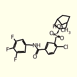 C[C@]1(O)C2CCC1C[C@H](S(=O)(=O)c1cc(C(=O)Nc3cc(F)c(F)c(F)c3)ccc1Cl)C2